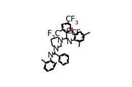 Cc1cc(C)c(/N=C(\c2c(C(F)(F)F)cc(C(F)(F)F)cc2C(F)(F)F)N2CCCN(/C(=N/c3c(C)cccc3C)c3ccccc3)C2)c(Cl)c1